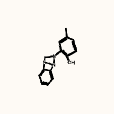 Cc1ccc(O)c(N2Cn3c4ccccc4n32)c1